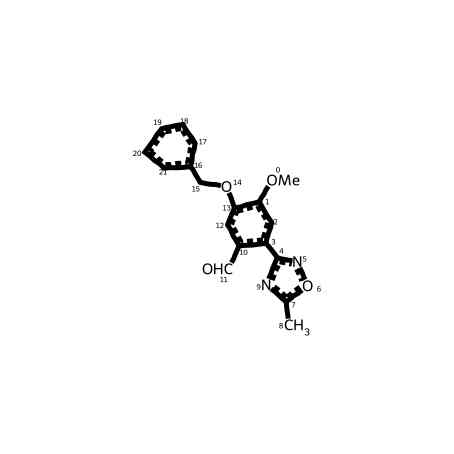 COc1cc(-c2noc(C)n2)c(C=O)cc1OCc1ccccc1